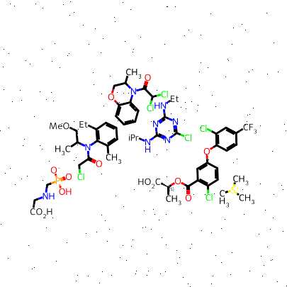 CC1COc2ccccc2N1C(=O)C(Cl)Cl.CCNc1nc(Cl)nc(NC(C)C)n1.CCc1cccc(C)c1N(C(=O)CCl)C(C)COC.C[C@H](OC(=O)c1cc(Oc2ccc(C(F)(F)F)cc2Cl)ccc1Cl)C(=O)O.C[S+](C)C.O=C(O)CNCP(=O)([O-])O